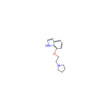 c1cc(OCCN2CCCC2)c2[nH]ccc2c1